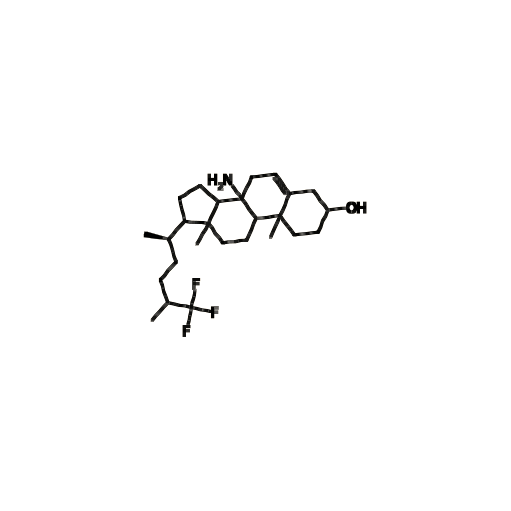 CC(CC[C@@H](C)C1CCC2C1(C)CCC1C3(C)CCC(O)CC3=CCC12N)C(F)(F)F